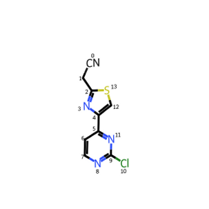 N#CCc1nc(-c2ccnc(Cl)n2)cs1